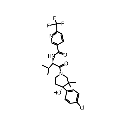 CC(C)[C@@H](NC(=O)c1ccc(C(F)(F)F)nc1)C(=O)N1CC[C@](O)(c2ccc(Cl)cc2)C(C)(C)C1